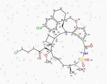 CO[C@@]1(CC(=O)CCCCl)/C=C/C[C@H](C)[C@@H](C)S(=O)(=O)NC(=O)c2ccc3c(c2)N(C[C@@H]2CC[C@H]21)C[C@@]1(CCCc2cc(Cl)ccc21)CO3